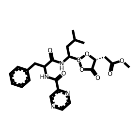 COC(=O)C[C@H]1OB(C(CC(C)C)NC(=O)C(Cc2ccccc2)NC(=O)c2cnccn2)OC1=O